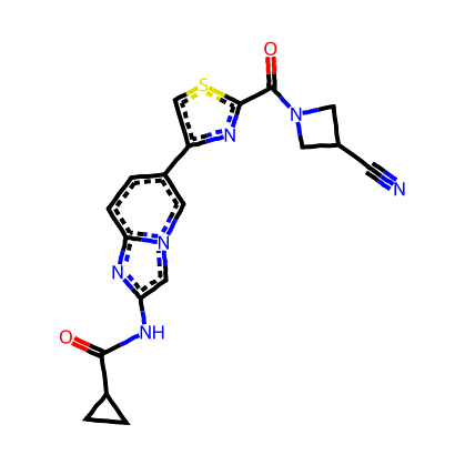 N#CC1CN(C(=O)c2nc(-c3ccc4nc(NC(=O)C5CC5)cn4c3)cs2)C1